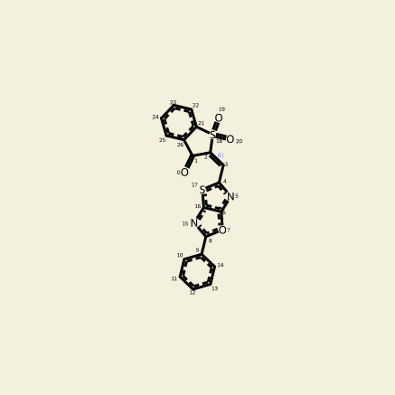 O=C1/C(=C\c2nc3oc(-c4ccccc4)nc3s2)S(=O)(=O)c2ccccc21